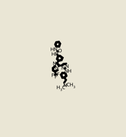 CN(C)CCc1cccc(Nc2nccc(-c3c(-c4cccc(NC(=O)Nc5ccccc5)c4)nc4ccc(C(F)(F)F)cn34)n2)c1